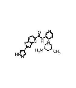 C[C@@H]1C[C@H](N)CN(c2ccncc2NC(=O)c2ccc3sc(-c4cn[nH]c4)cc3n2)C1